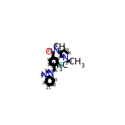 CC(C)N1CC[C@@H](N(C)C(=O)c2ccc(Cn3cnc4ccccc43)c(F)c2)C1